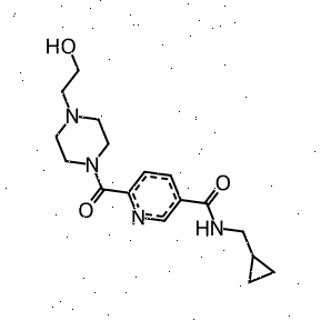 O=C(NCC1CC1)c1ccc(C(=O)N2CCN(CCO)CC2)nc1